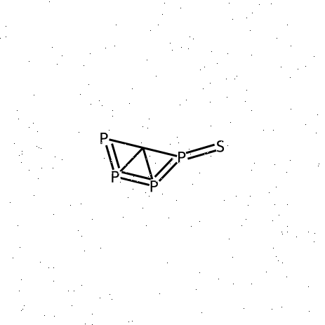 S=P1=P2=P3=PC132